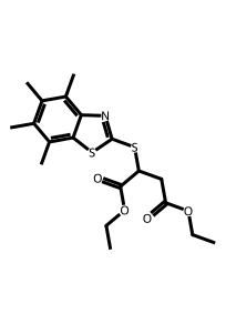 CCOC(=O)CC(Sc1nc2c(C)c(C)c(C)c(C)c2s1)C(=O)OCC